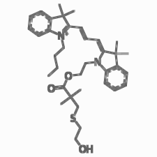 CCCC[N+]1=C(C=CC=C2N(CCOC(=O)C(C)(C)CSCCO)c3ccccc3C2(C)C)C(C)(C)c2ccccc21